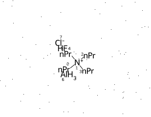 CCC[N+](CCC)(CCC)CCC.F.[AlH3].[Cl-]